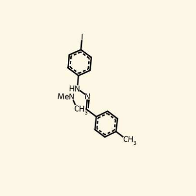 CNC.Cc1ccc(C=NNc2ccc(I)cc2)cc1